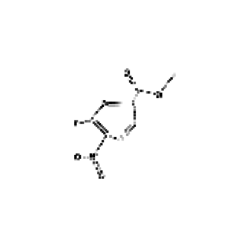 COC(=O)c1ccc([N+](=O)[O-])c(F)n1